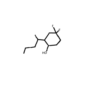 CCCC(C)C1CC(F)(F)CCC1O